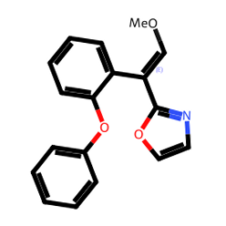 CO/C=C(/c1ncco1)c1ccccc1Oc1ccccc1